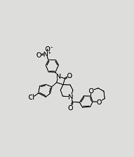 O=C(c1ccc2c(c1)OCCCO2)N1CCC2(CC1)C(=O)N(c1ccc([N+](=O)[O-])cc1)C2c1ccc(Cl)cc1